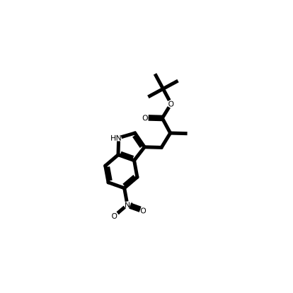 CC(Cc1c[nH]c2ccc([N+](=O)[O-])cc12)C(=O)OC(C)(C)C